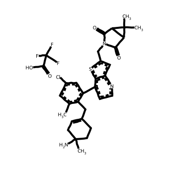 Cc1cc(Cl)cc(-c2ccnc3cc(CN4C(=O)C5C(C4=O)C5(C)C)sc23)c1CC1=CCC(C)(N)CC1.O=C(O)C(F)(F)F